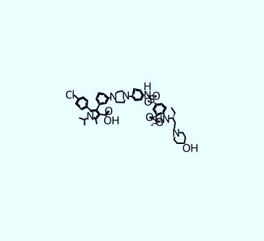 CC[C@@H](CCN1CCC(O)CC1)Nc1ccc(S(=O)(=O)Nc2ccc(N3CCN(c4cccc(-c5c(C(=O)O)c(C)n(C(C)C)c5-c5ccc(Cl)cc5)c4)CC3)cc2)cc1S(C)(=O)=O